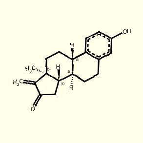 C=C1C(=O)C[C@H]2[C@@H]3CCc4cc(O)ccc4[C@H]3CC[C@]12C